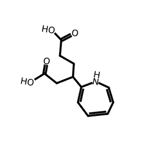 O=C(O)CCC(CC(=O)O)C1=CC=CC=CN1